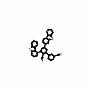 N#Cc1cccc(-c2cc(-c3ccc4c(c3)oc3ccccc34)cc(-c3cccc4sc5ccccc5c34)c2C#N)c1